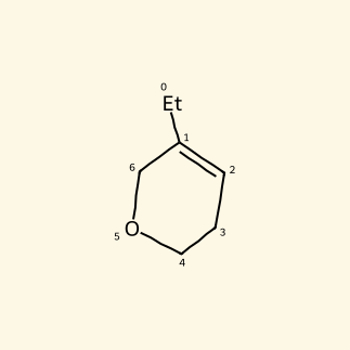 CCC1=CCCOC1